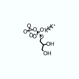 O=P([O-])([O-])OP(=O)([O-])OCC(O)CO.[K+].[K+].[K+]